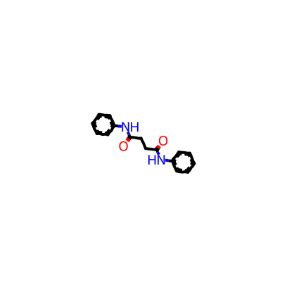 O=C(CCC(=O)Nc1ccccc1)Nc1ccccc1